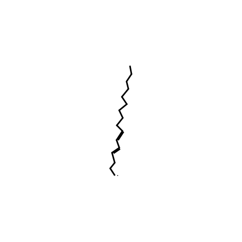 [CH2]CCC=CC=CCCCCCCCCC